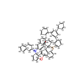 c1ccc(-c2cc(-c3ccccc3)cc(-c3cccc4sc5c(-c6cc7c(oc8cccc(N(c9ccc%10ccccc%10c9)c9ccc%10ccccc%10c9)c87)c7ccccc67)cccc5c34)c2)cc1